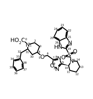 O=C(O)N1CCC(OCc2nc([C@@H]3CCCCN3S(=O)(=O)c3nc4ccccc4[nH]3)no2)CC1Cc1ccccc1